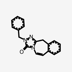 O=c1n(Cc2ccccc2)nc2n1C=Cc1ccccc1C2